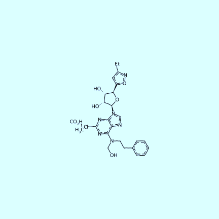 CC(=O)O.CCc1cc([C@H]2O[C@@H](n3cnc4c(N(CO)CCc5ccccc5)nc(Cl)nc43)[C@H](O)[C@@H]2O)on1